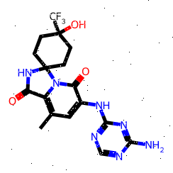 Cc1cc(Nc2ncnc(N)n2)c(=O)n2c1C(=O)NC21CCC(O)(C(F)(F)F)CC1